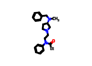 CCC(=O)N(CCN1CC[C@@H](N(C)Cc2ccccc2)C1)c1ccccc1